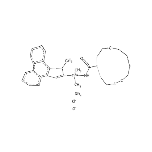 CC1[C]([Ti+2]([CH3])([CH3])[NH]C(=O)C2CCCCCCCCCCC2)=Cc2c1c1ccccc1c1ccccc21.[Cl-].[Cl-].[SiH4]